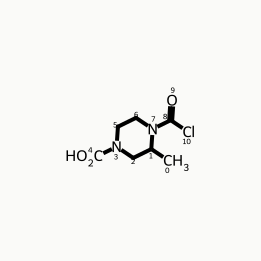 CC1CN(C(=O)O)CCN1C(=O)Cl